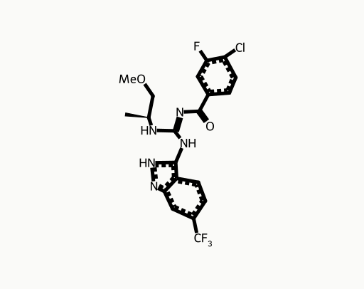 COC[C@H](C)N/C(=N/C(=O)c1ccc(Cl)c(F)c1)Nc1[nH]nc2cc(C(F)(F)F)ccc12